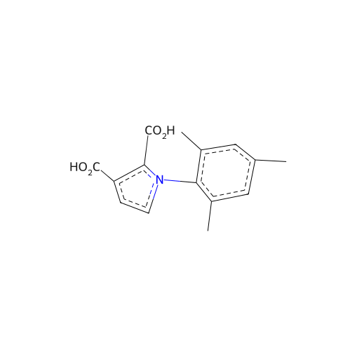 Cc1cc(C)c(-n2ccc(C(=O)O)c2C(=O)O)c(C)c1